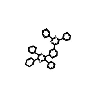 C1=CC(c2nc(-c3ccccc3)c(-c3cccc(-c4cc(-c5ccccc5)nc(-c5ccccc5)n4)c3)nc2-c2ccccc2)=CCC1